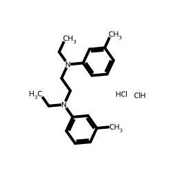 CCN(CCN(CC)c1cccc(C)c1)c1cccc(C)c1.Cl.Cl